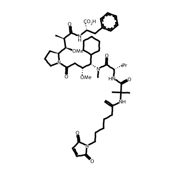 C=C(CCCCCN1C(=O)C=CC1=O)NC(C)(C)C(=O)N[C@H](C(=O)N(C)[C@@H](C1CCCCC1)[C@@H](CC(=O)N1CCC[C@H]1[C@H](OC)[C@@H](C)C(=O)N[C@@H](Cc1ccccc1)C(=O)O)OC)C(C)C